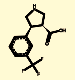 O=C(O)[C@H]1CNC[C@@H]1c1cccc(C(F)(F)F)c1